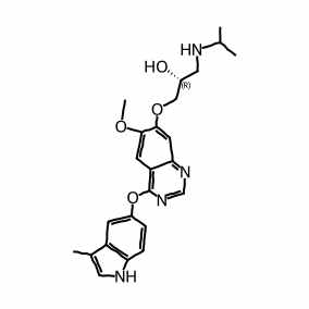 COc1cc2c(Oc3ccc4[nH]cc(C)c4c3)ncnc2cc1OC[C@H](O)CNC(C)C